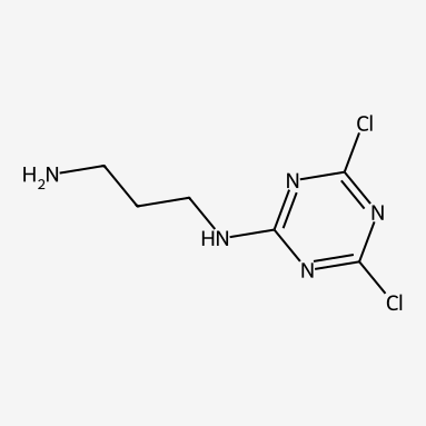 NCCCNc1nc(Cl)nc(Cl)n1